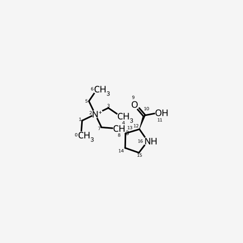 CC[N+](CC)(CC)CC.O=C(O)[C@@H]1CCCN1